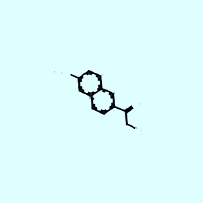 COc1ccc2cc(C(=O)CN)ccc2c1